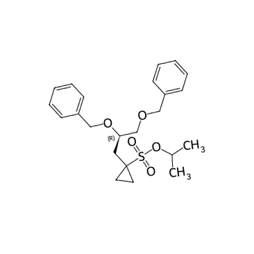 CC(C)OS(=O)(=O)C1(C[C@H](COCc2ccccc2)OCc2ccccc2)CC1